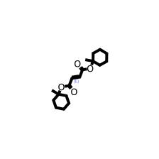 CC1(OC(=O)/C=C/C(=O)OC2(C)CCCCC2)CCCCC1